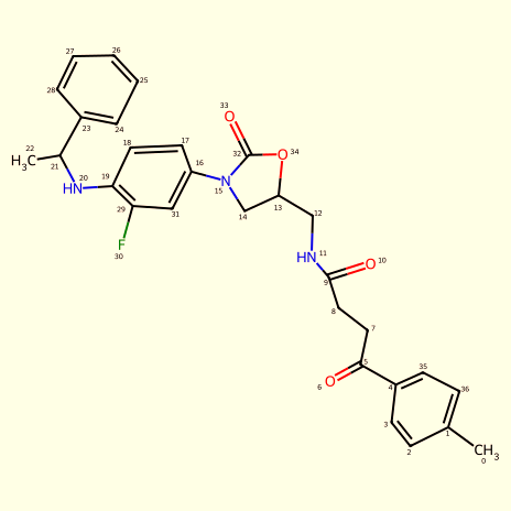 Cc1ccc(C(=O)CCC(=O)NCC2CN(c3ccc(NC(C)c4ccccc4)c(F)c3)C(=O)O2)cc1